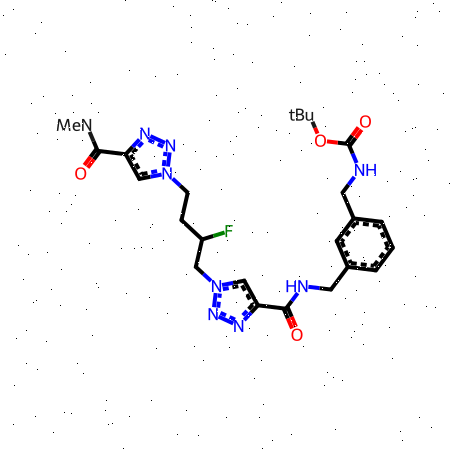 CNC(=O)c1cn(CCC(F)Cn2cc(C(=O)NCc3cccc(CNC(=O)OC(C)(C)C)c3)nn2)nn1